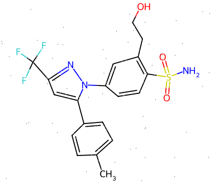 Cc1ccc(-c2cc(C(F)(F)F)nn2-c2ccc(S(N)(=O)=O)c(CCO)c2)cc1